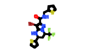 O=C(NCc1cccs1)c1nn2c(c1Br)NC(c1cccs1)CC2C(F)(F)F